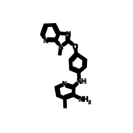 Cc1ccnc(Nc2ccc(Oc3nc4cccnc4n3C)cc2)c1N